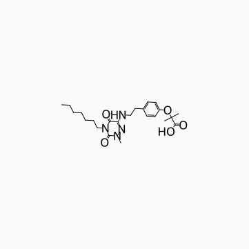 CCCCCCCn1c(=O)c(NCCc2ccc(OC(C)(C)C(=O)O)cc2)nn(C)c1=O